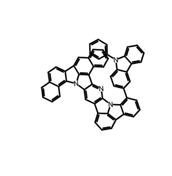 c1ccc(-n2c3ccccc3c3cc(-c4cccc5c6cccc7c8cc9c(nc8n(c45)c76)c4c5ccccc5cc5c6ccc7ccccc7c6n9c54)ccc32)cc1